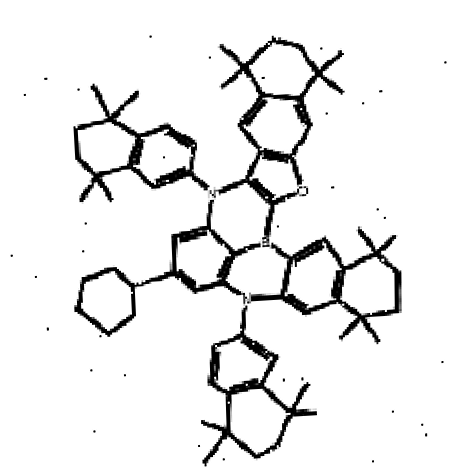 CC1(C)CCC(C)(C)c2cc(N3c4cc5c(cc4B4c6oc7cc8c(cc7c6N(c6ccc7c(c6)C(C)(C)CCC7(C)C)c6cc(C7CCCCC7)cc3c64)C(C)(C)CCC8(C)C)C(C)(C)CCC5(C)C)ccc21